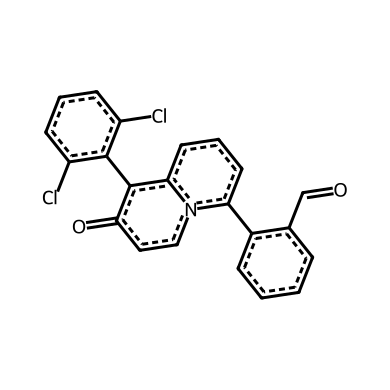 O=Cc1ccccc1-c1cccc2c(-c3c(Cl)cccc3Cl)c(=O)ccn12